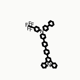 FC(F)(F)C(F)(F)c1ccc(N(c2ccc(-c3ccccc3)cc2)c2ccc(-c3ccc(-c4ccc(-c5cc6c7ccccc7n7c8ccccc8c(c5)c67)cc4)cc3)cc2)cc1